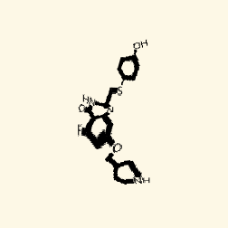 O=c1[nH]c(CS[C@H]2CC[C@H](O)CC2)nc2cc(OCC3CCNCC3)cc(F)c12